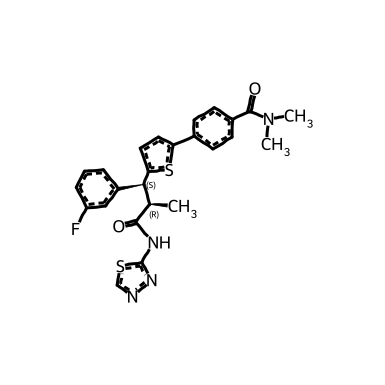 C[C@@H](C(=O)Nc1nncs1)[C@@H](c1cccc(F)c1)c1ccc(-c2ccc(C(=O)N(C)C)cc2)s1